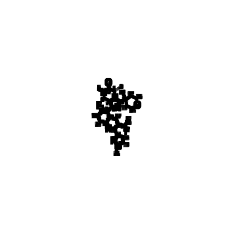 C[C@H]1C(=O)N(C)Cc2c(-c3c(F)ccc4nc(-c5ccn(C)n5)c(C(F)F)cc34)nc(C3(C)CCOCC3)n21